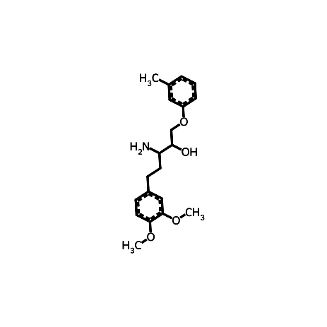 COc1ccc(CCC(N)C(O)COc2cccc(C)c2)cc1OC